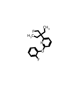 CCC(CC)(CF)c1cccc(Oc2ccccc2F)n1